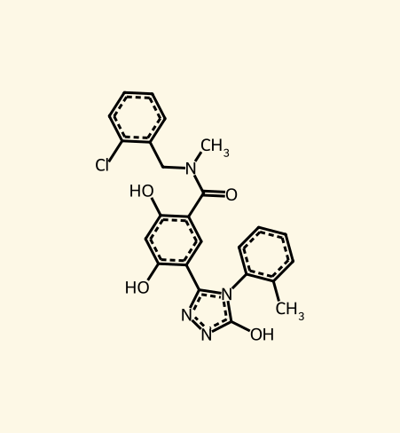 Cc1ccccc1-n1c(O)nnc1-c1cc(C(=O)N(C)Cc2ccccc2Cl)c(O)cc1O